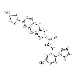 Cc1nc(N2CCC(C)C2)ccc1Cn1cc(C(=O)NCc2cc(Cl)ccc2-n2cnnn2)cn1